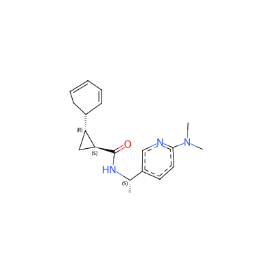 C[C@H](NC(=O)[C@H]1C[C@@H]1C1C=CC=CC1)c1ccc(N(C)C)nc1